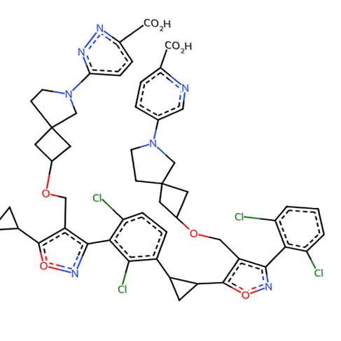 O=C(O)c1ccc(N2CCC3(CC(OCc4c(-c5c(Cl)cccc5Cl)noc4C4CC4c4ccc(Cl)c(-c5noc(C6CC6)c5COC5CC6(CCN(c7ccc(C(=O)O)nn7)C6)C5)c4Cl)C3)C2)cn1